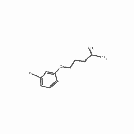 CC(C)CCCOc1[c]ccc(F)c1